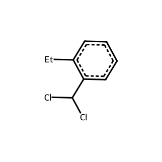 CCc1ccccc1C(Cl)Cl